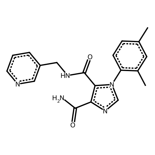 Cc1ccc(-n2cnc(C(N)=O)c2C(=O)NCc2cccnc2)c(C)c1